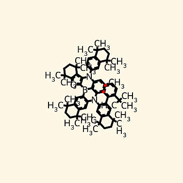 Cc1cc2c3c(c1)N(c1ccc4c(c1)C(C)(C)CCC4(C)C)c1c(oc4c1C(C)(C)CCC4(C)C)B3c1cc3c(cc1N2c1cc2c(cc1-c1ccccc1C(C)(C)C)C(C)(C)CCC2(C)C)C(C)(C)CCC3(C)C